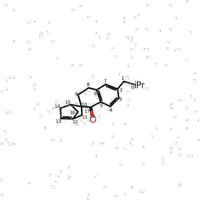 CC(C)Cc1ccc2c(c1)CCC1(CC3=CCC1C3)C2=O